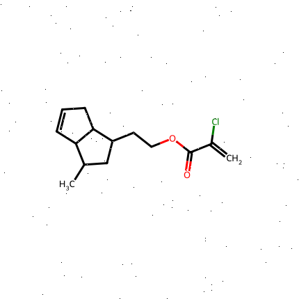 C=C(Cl)C(=O)OCCC1CC(C)C2C=CCC12